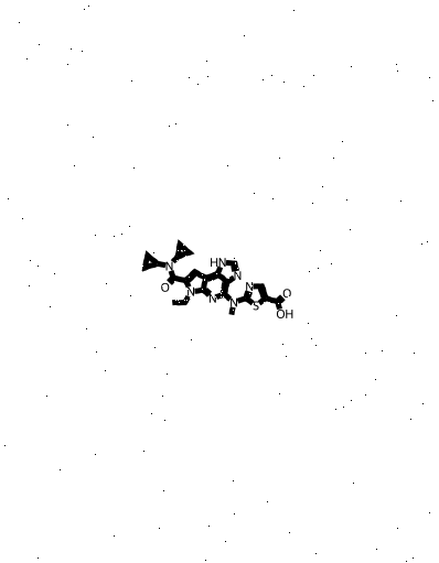 CCn1c(C(=O)N(C2CC2)C2CC2)cc2c3[nH]cnc3c(N(C)c3ncc(C(=O)O)s3)nc21